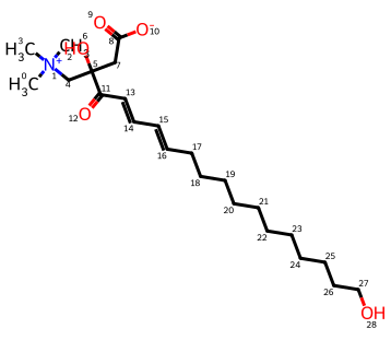 C[N+](C)(C)CC(O)(CC(=O)[O-])C(=O)C=CC=CCCCCCCCCCCCO